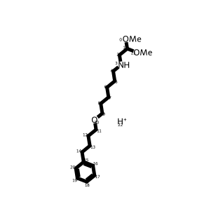 COC(CNCCCCCCOCCCCc1ccccc1)OC.[H+]